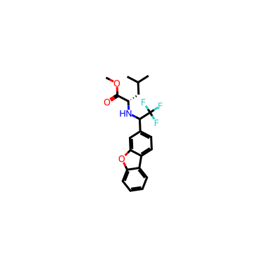 COC(=O)[C@H](CC(C)C)NC(c1ccc2c(c1)oc1ccccc12)C(F)(F)F